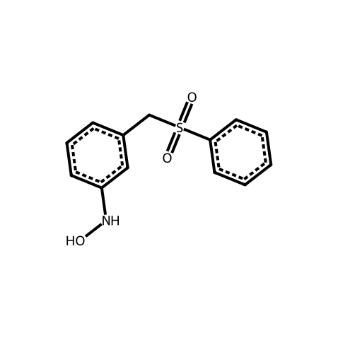 O=S(=O)(Cc1cccc(NO)c1)c1ccccc1